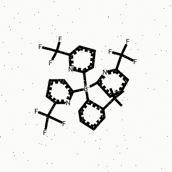 CC(C)(C)c1ccccc1[B-](c1cccc(C(F)(F)F)n1)(c1cccc(C(F)(F)F)n1)c1cccc(C(F)(F)F)n1